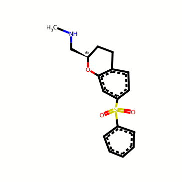 CNC[C@H]1CCc2ccc(S(=O)(=O)c3ccccc3)cc2O1